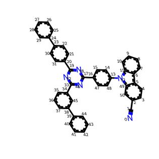 N#Cc1ccc2c3ccccc3n(-c3ccc(-c4nc(-c5ccc(-c6ccccc6)cc5)nc(-c5cccc(-c6ccccc6)c5)n4)cc3)c2c1